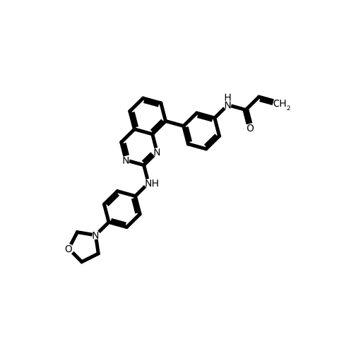 C=CC(=O)Nc1cccc(-c2cccc3cnc(Nc4ccc(N5CCOC5)cc4)nc23)c1